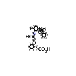 O=C(O)CCc1ccccc1OCC[C@@H](O)/C=C/c1cc(NS(=O)(=O)c2ccccc2)ccc1F